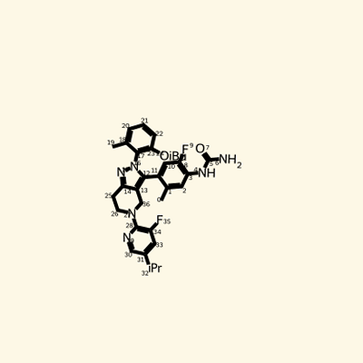 Cc1cc(NC(N)=O)c(F)cc1-c1c2c(nn1-c1c(C)cccc1OCC(C)C)CCN(c1ncc(C(C)C)cc1F)C2